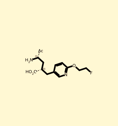 CC(=O)[C@@H](N)C[C@H](Cc1ccc(OCCF)nc1)C(=O)O